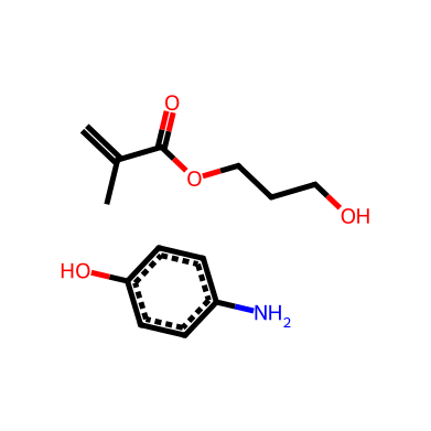 C=C(C)C(=O)OCCCO.Nc1ccc(O)cc1